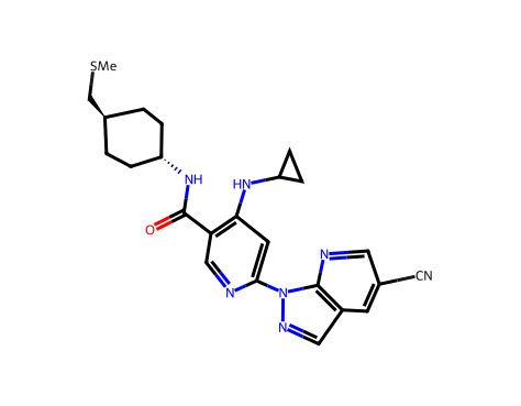 CSC[C@H]1CC[C@H](NC(=O)c2cnc(-n3ncc4cc(C#N)cnc43)cc2NC2CC2)CC1